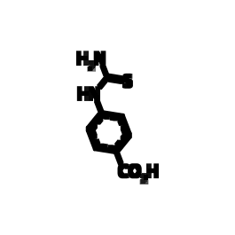 NC(=S)Nc1ccc(C(=O)O)cc1